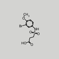 COc1ccc(NS(=O)(=O)CCC(=O)O)cc1Br